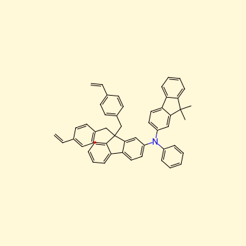 C=Cc1ccc(CC2(Cc3ccc(C=C)cc3)c3ccccc3-c3ccc(N(c4ccccc4)c4ccc5c(c4)C(C)(C)c4ccccc4-5)cc32)cc1